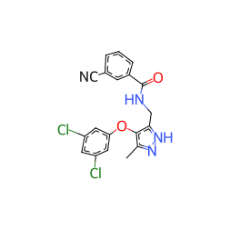 Cc1n[nH]c(CNC(=O)c2cccc(C#N)c2)c1Oc1cc(Cl)cc(Cl)c1